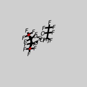 C[Si](OC(F)(C(F)F)C(F)(F)F)(OC(F)(C(F)F)C(F)(F)F)OC(F)(C(F)F)C(F)(F)F